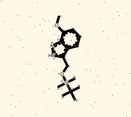 COc1cccc2c(CO[Si](C)(C)C(C)(C)C)[nH]nc12